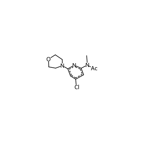 CC(=O)N(C)c1cc(Cl)cc(N2CCOCC2)n1